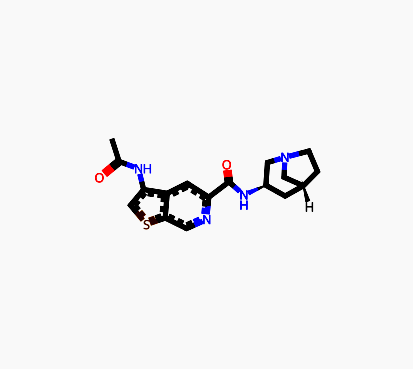 CC(=O)Nc1csc2cnc(C(=O)N[C@@H]3C[C@H]4CCN(C4)C3)cc12